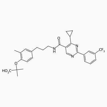 Cc1cc(CCCNC(=O)c2cnc(-c3cccc(C(F)(F)F)c3)nc2C2CC2)ccc1OC(C)(C)C(=O)O